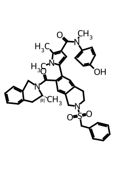 Cc1c(C(=O)N(C)c2ccc(O)cc2)cc(-c2cc3c(cc2C(=O)N2Cc4ccccc4C[C@H]2C)CN(S(=O)(=O)Cc2ccccc2)CC3)n1C